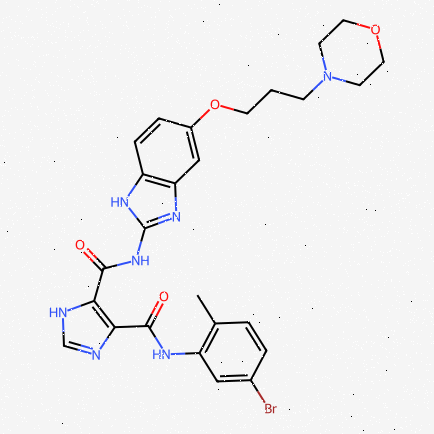 Cc1ccc(Br)cc1NC(=O)c1nc[nH]c1C(=O)Nc1nc2cc(OCCCN3CCOCC3)ccc2[nH]1